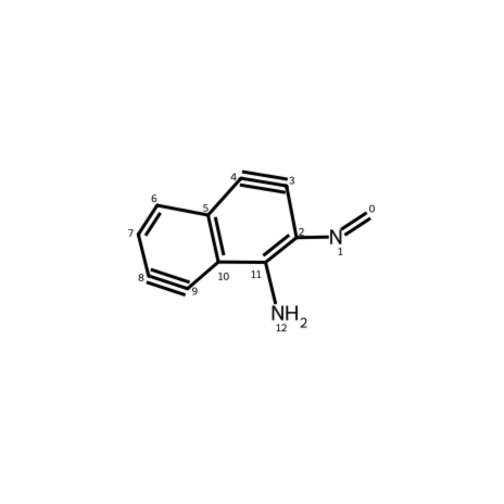 C=Nc1c#cc2ccc#cc2c1N